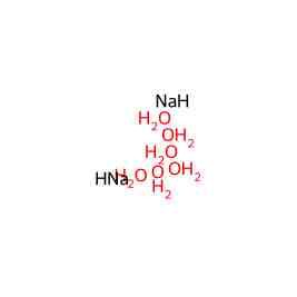 O.O.O.O.O.O.[NaH].[NaH]